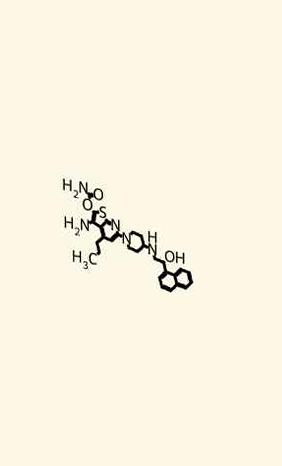 CCCc1cc(N2CCC(NCC(O)c3cccc4ccccc34)CC2)nc2sc(OC(N)=O)c(N)c12